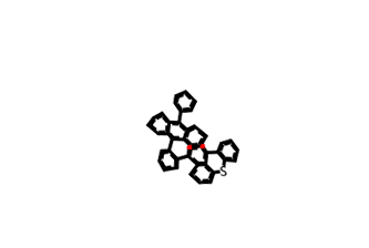 c1ccc(-c2c3ccccc3c(-c3ccccc3-c3ccc4c5c(cccc35)Sc3ccccc3-4)c3ccccc23)cc1